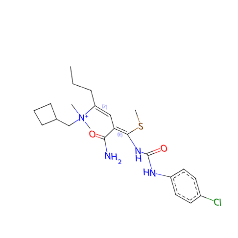 CCC/C(=C/C(C(N)=O)=C(/NC(=O)Nc1ccc(Cl)cc1)SC)[N+](C)(C)CC1CCC1